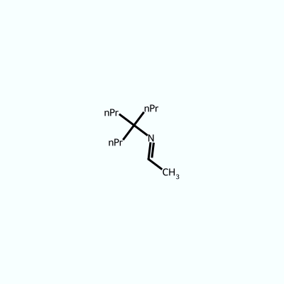 CC=NC(CCC)(CCC)CCC